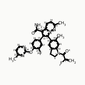 C=C(F)C(=O)N1CCc2cc(-c3c(-c4ccc(Oc5nccc(C)n5)c(F)c4)c(C(N)=O)c4ccc(C)nn34)c(C)cc21